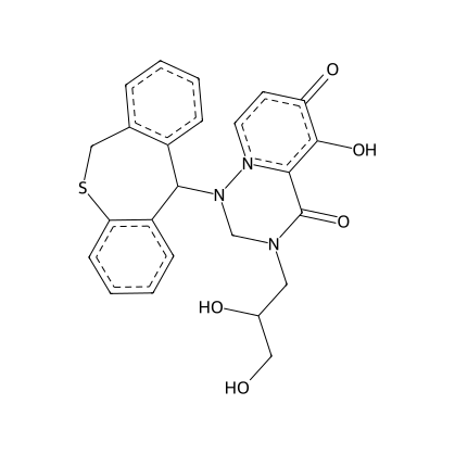 O=C1c2c(O)c(=O)ccn2N(C2c3ccccc3CSc3ccccc32)CN1CC(O)CO